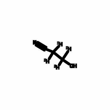 [2H]C([2H])(O)C([2H])([2H])C#N